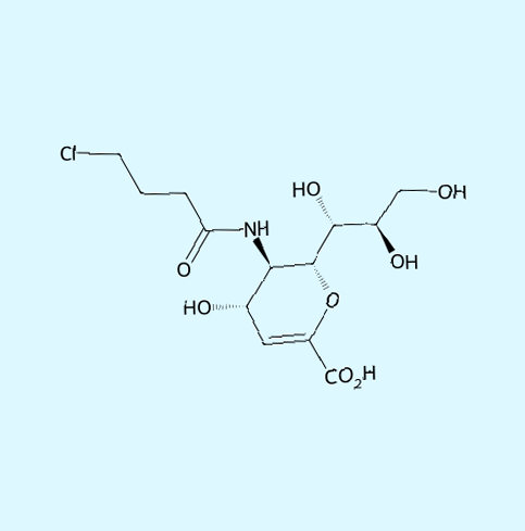 O=C(CCCCl)N[C@H]1[C@H]([C@H](O)[C@H](O)CO)OC(C(=O)O)=C[C@@H]1O